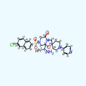 [CH2]CCC(N)C12CN(S(=O)(=O)c3ccc4cc(Cl)ccc4c3)CC(=O)N1CC1(CCN(c3ccncc3)CC1)O2